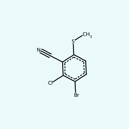 CSc1ccc(Br)c(Cl)c1C#N